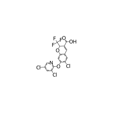 O=C(O)C1=Cc2cc(Cl)c(Oc3ncc(Cl)cc3Cl)cc2OC1C(F)(F)F